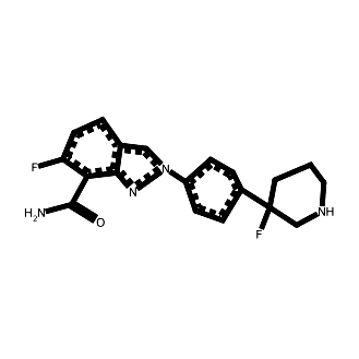 NC(=O)c1c(F)ccc2cn(-c3ccc(C4(F)CCCNC4)cc3)nc12